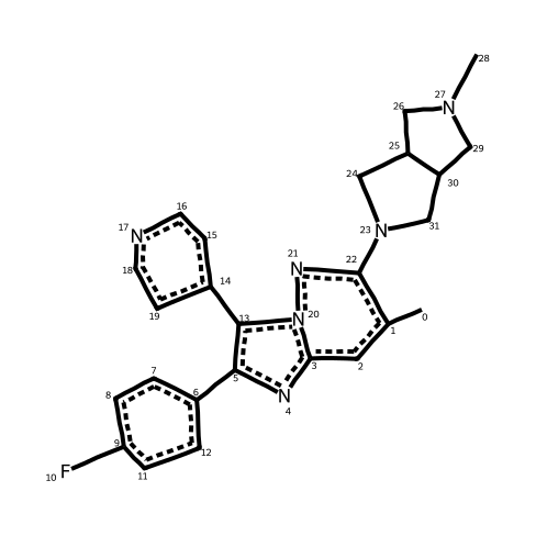 Cc1cc2nc(-c3ccc(F)cc3)c(-c3ccncc3)n2nc1N1CC2CN(C)CC2C1